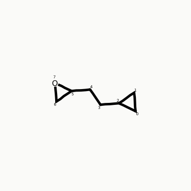 C1CC1CCC1CO1